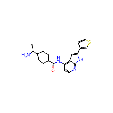 C[C@H](N)C1CCC(C(=O)Nc2ccnc3[nH]c(-c4ccsc4)cc23)CC1